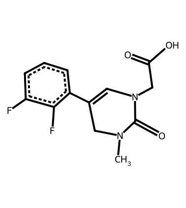 CN1CC(c2cccc(F)c2F)=CN(CC(=O)O)C1=O